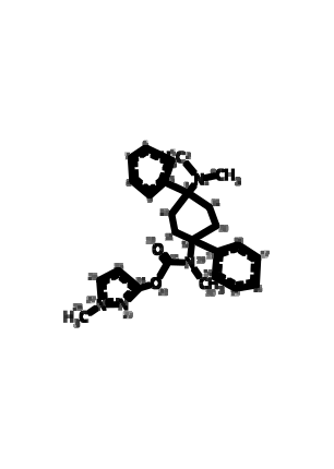 CN(C)C1(c2ccccc2)CCC(c2ccccc2)(N(C)C(=O)Oc2ccn(C)n2)CC1